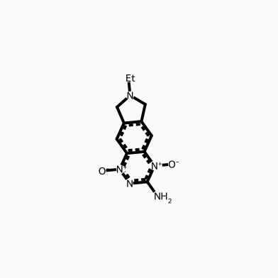 CCN1Cc2cc3c(cc2C1)[n+]([O-])c(N)n[n+]3[O-]